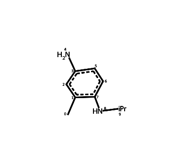 Cc1cc(N)ccc1NC(C)C